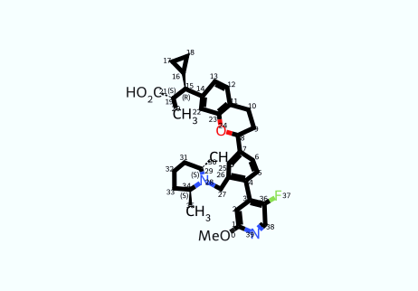 COc1cc(-c2ccc(C3CCc4ccc([C@H](C5CC5)[C@H](C)C(=O)O)cc4O3)cc2CN2[C@@H](C)CCC[C@@H]2C)c(F)cn1